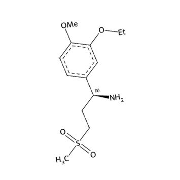 CCOc1cc([C@@H](N)CCS(C)(=O)=O)ccc1OC